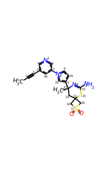 CC#Cc1cncc(-n2ccc(C3(C)CC4(CS(=O)(=O)C4)SC(N)=N3)c2)c1